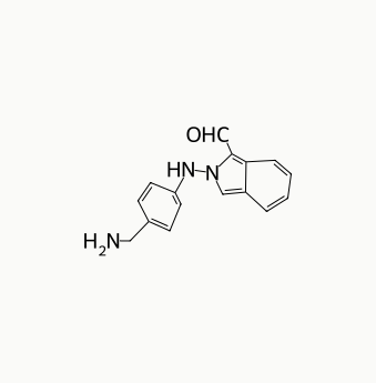 NCc1ccc(Nn2cc3ccccc3c2C=O)cc1